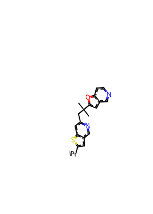 CC(C)c1cc2cnc(CC(C)(C)c3cc4cnccc4o3)cc2s1